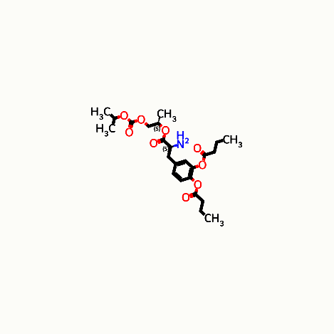 CCCC(=O)Oc1ccc(C[C@H](N)C(=O)O[C@@H](C)COC(=O)OC(C)C)cc1OC(=O)CCC